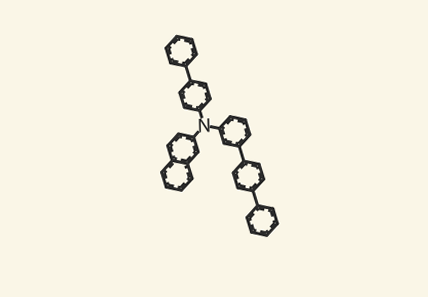 c1ccc(-c2ccc(-c3cccc(N(c4ccc(-c5ccccc5)cc4)c4ccc5ccccc5c4)c3)cc2)cc1